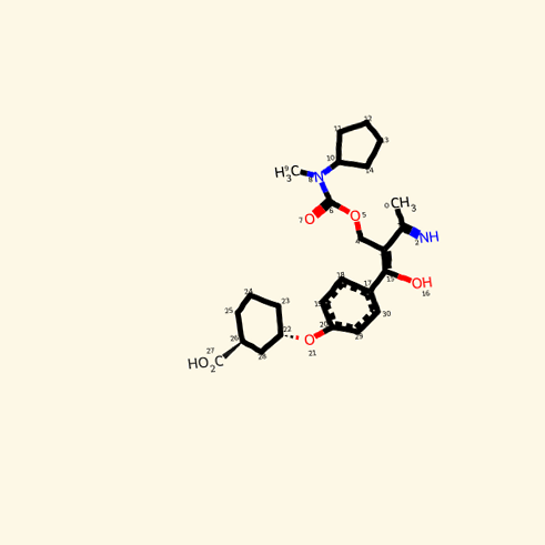 CC(=N)/C(COC(=O)N(C)C1CCCC1)=C(\O)c1ccc(O[C@H]2CCC[C@H](C(=O)O)C2)cc1